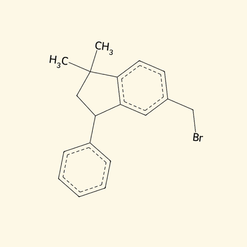 CC1(C)CC(c2ccccc2)c2cc(CBr)ccc21